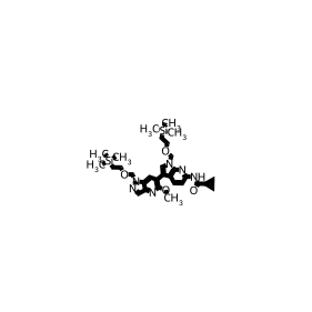 COc1nc2cnn(COCC[Si](C)(C)C)c2cc1-c1cn(COCC[Si](C)(C)C)c2nc(NC(=O)C3CC3)ccc12